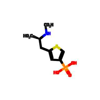 O=C(O)N[C@@H](Cc1cc(P(=O)(O)O)cs1)C(=O)O